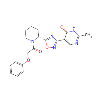 Cc1ncc(-c2noc([C@H]3CCCCN3C(=O)COc3ccccc3)n2)c(=O)[nH]1